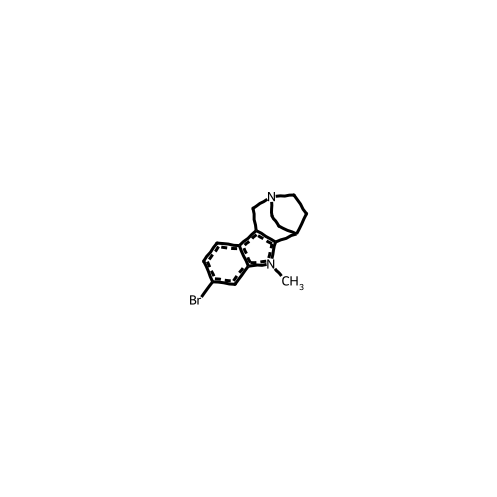 Cn1c2c(c3ccc(Br)cc31)CN1CCC2CC1